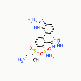 C[C@H](CN)S(=O)(=O)c1ccc(-c2cccc3nc(N)[nH]c23)c(-c2nn[nH]n2)c1S(N)(=O)=O